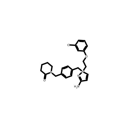 NC1=N[N+](CCOc2cccc(Cl)c2)(Cc2ccc(CN3CCCCC3=O)cc2)C=C1